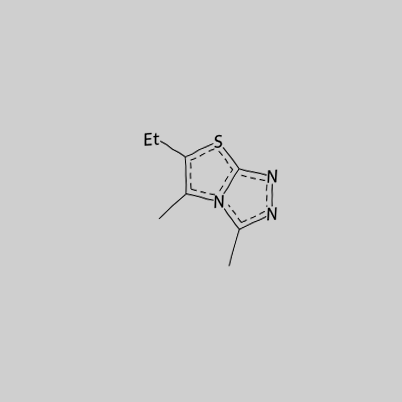 CCc1sc2nnc(C)n2c1C